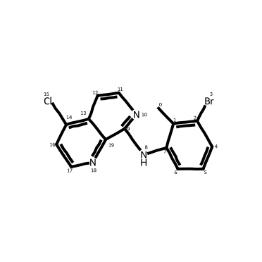 Cc1c(Br)cccc1Nc1nccc2c(Cl)ccnc12